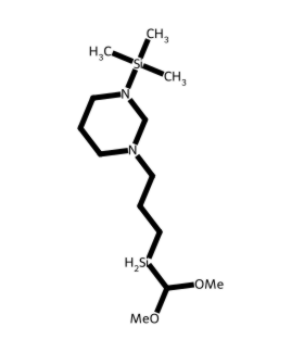 COC(OC)[SiH2]CCCN1CCCN([Si](C)(C)C)C1